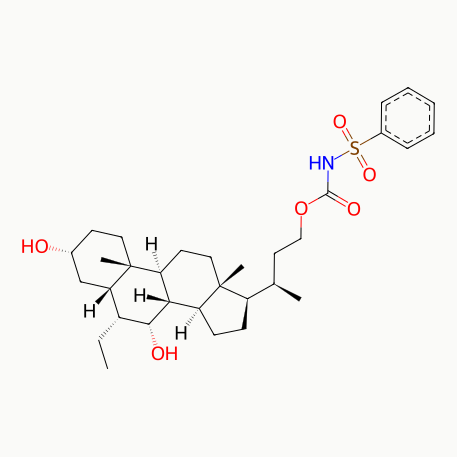 CC[C@H]1[C@@H](O)[C@@H]2[C@H](CC[C@]3(C)[C@@H]([C@H](C)CCOC(=O)NS(=O)(=O)c4ccccc4)CC[C@@H]23)[C@@]2(C)CC[C@@H](O)C[C@@H]12